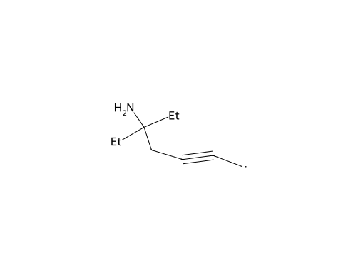 [CH2]C#CCC(N)(CC)CC